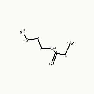 CC(=O)CC(=O)OCCSC(C)=O